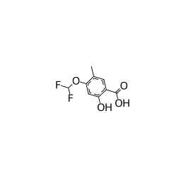 Cc1cc(C(=O)O)c(O)cc1OC(F)F